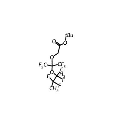 CC(C)(C)OC(=O)COC(OC(C)(F)C(C)(F)F)(C(F)(F)F)C(F)(F)F